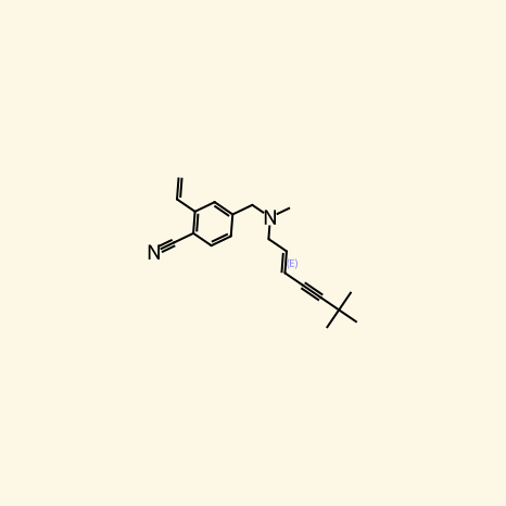 C=Cc1cc(CN(C)C/C=C/C#CC(C)(C)C)ccc1C#N